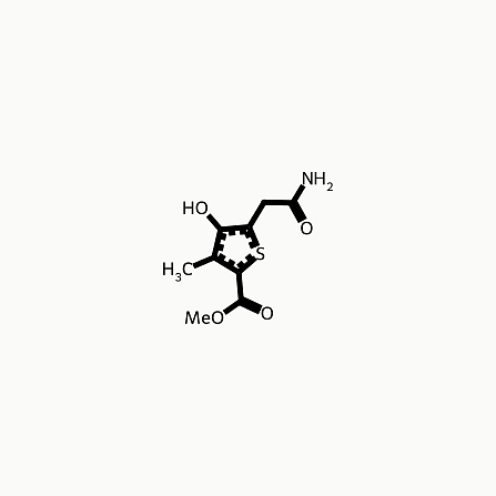 COC(=O)c1sc(CC(N)=O)c(O)c1C